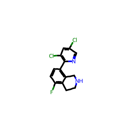 Fc1ccc(-c2ncc(Cl)cc2Cl)c2c1CCNC2